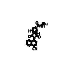 CC(C)(C)NC(=O)N1C[C@H]2CC1[C@H]1C(=O)N(c3ccc(C#N)c4ncccc34)C(=O)N21